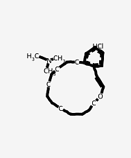 C1=Cc2ccccc2CCCCCCCCCCCCO1.CN(C)C.Cl